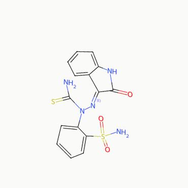 NC(=S)N(/N=C1/C(=O)Nc2ccccc21)c1ccccc1S(N)(=O)=O